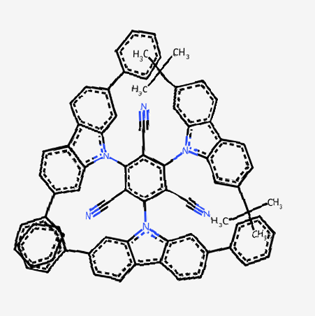 CC(C)(C)c1ccc2c3ccc(C(C)(C)C)cc3n(-c3c(C#N)c(-n4c5cc(-c6ccccc6)ccc5c5ccc(-c6ccccc6)cc54)c(C#N)c(-n4c5cc(-c6ccccc6)ccc5c5ccc(-c6ccccc6)cc54)c3C#N)c2c1